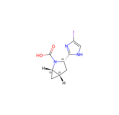 O=C(O)N1[C@H](c2nc(I)c[nH]2)C[C@@H]2C[C@@H]21